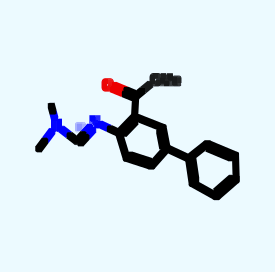 COC(=O)c1cc(-c2ccccc2)ccc1/N=C/N(C)C